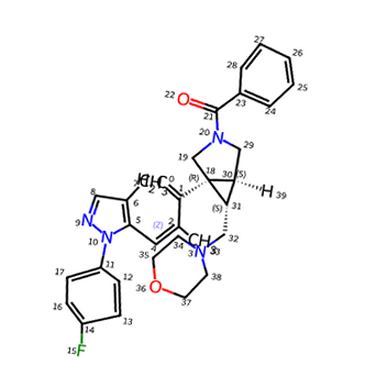 C=C(/C(C)=C\c1c(C)cnn1-c1ccc(F)cc1)[C@]12CN(C(=O)c3ccccc3)C[C@H]1[C@@H]2CN1CCOCC1